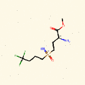 COC(=O)[C@@H](N)CC[S@@](=N)(=O)CCCC(F)(F)F